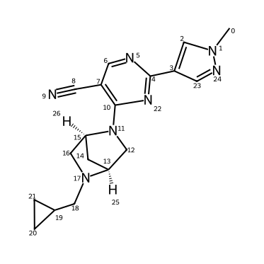 Cn1cc(-c2ncc(C#N)c(N3C[C@@H]4C[C@H]3CN4CC3CC3)n2)cn1